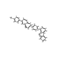 Fc1ccc(-c2ccc3cc(-c4ccc(-c5cccc6c5sc5ccccc56)cc4)cnc3c2)cc1